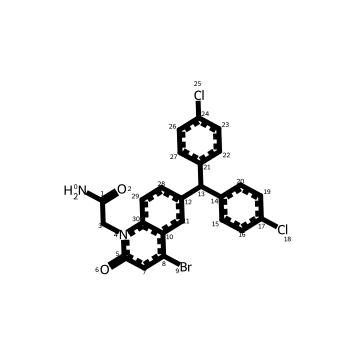 NC(=O)Cn1c(=O)cc(Br)c2cc(C(c3ccc(Cl)cc3)c3ccc(Cl)cc3)ccc21